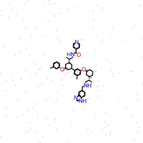 Cc1cccc(O[C@@H]2CC(c3cc(C)cc(O[C@@H]4CCC[C@H](C(C)CNCc5ccc6[nH]cnc6c5)C4)c3)C[C@H](C(C)CNC(=O)c3ccncc3)C2)c1